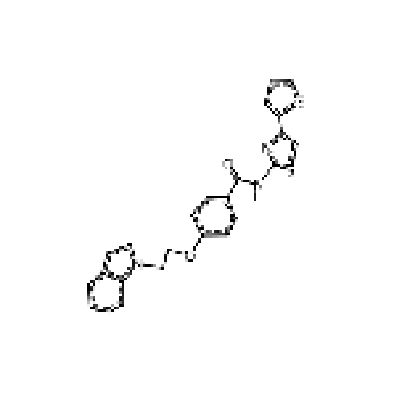 O=C(Nc1nc(-c2cccs2)cs1)c1ccc(OCCn2ccc3ccccc32)cc1